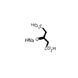 O=C(O)CC(=O)CC(=O)O.[NaH]